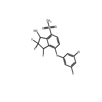 CS(=O)(=O)c1ccc(Sc2cc(F)cc(Cl)c2)c2c1C(O)C(F)(F)C2F